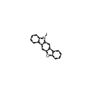 In1c2ccccc2c2cc3oc4ccccc4c3cc21